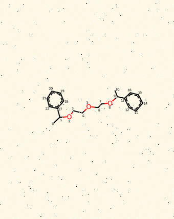 CC(OCCOCCOC(C)c1ccccc1)c1ccccc1